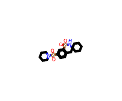 O=S1(=O)NC2(CCCCC2)Cc2ccc(S(=O)(=O)N3CCCCC3)cc21